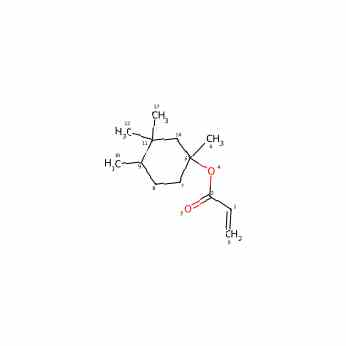 C=CC(=O)OC1(C)CCC(C)C(C)(C)C1